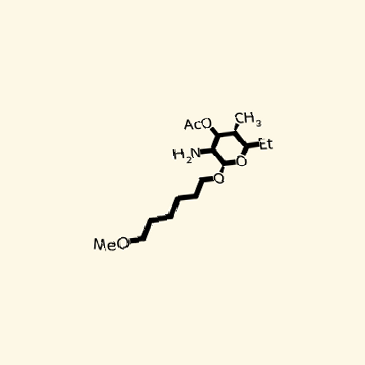 CCC1O[C@@H](OCCCCCCOC)C(N)C(OC(C)=O)[C@H]1C